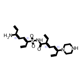 C=C/C(N)=C\C=C(/C=C)S(=O)(=O)NC(=O)/C(C=C)=C/C=C(\C=C)N1CCNCC1